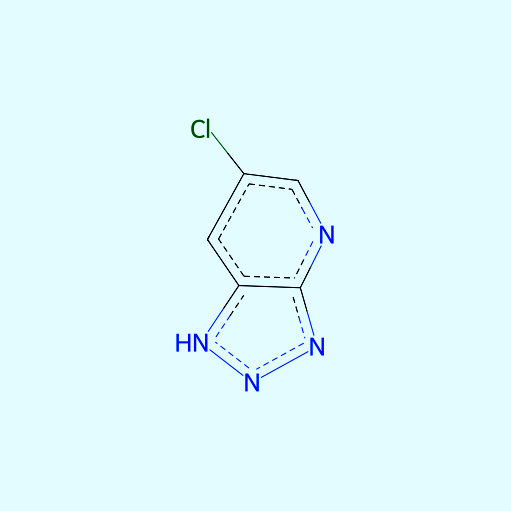 Clc1cnc2nn[nH]c2c1